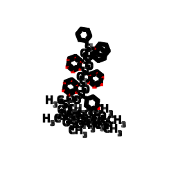 C[Si](C)(C)O[Si](C)(C)O[Si](C)(C)O[Si](C)(C)O[Si](C)(C)O[Si](C)(C)OO[Si](O[Si](O[Si](O[Si](O[SiH](c1ccccc1)c1ccccc1)(c1ccccc1)c1ccccc1)(c1ccccc1)c1ccccc1)(c1ccccc1)c1ccccc1)(c1ccccc1)c1ccccc1